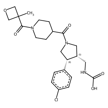 CC1(C(=O)N2CCC(C(=O)N3C[C@H](CNC(=O)O)[C@H](c4ccc(Cl)cc4)C3)CC2)COC1